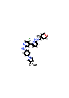 CO[C@H]1CCN(C2CCC(Nc3cc(-c4cccc(NCC5(C#N)CCOCC5)n4)c(Cl)cn3)CC2)C1